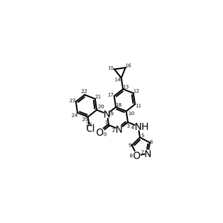 O=c1nc(Nc2cnoc2)c2ccc(C3CC3)cc2n1-c1ccccc1Cl